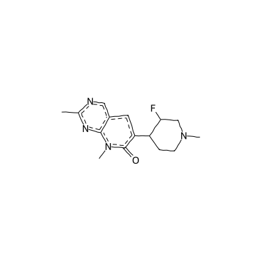 Cc1ncc2cc(C3CCN(C)CC3F)c(=O)n(C)c2n1